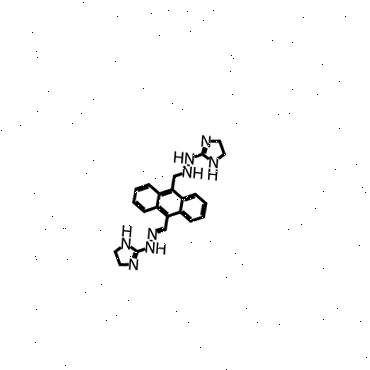 C(=NNC1=NCCN1)c1c2ccccc2c(CNNC2=NCCN2)c2ccccc12